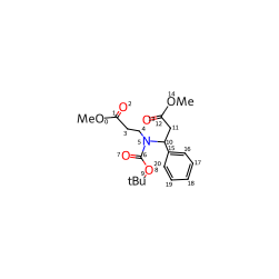 COC(=O)CCN(C(=O)OC(C)(C)C)C(CC(=O)OC)c1ccccc1